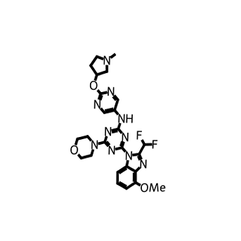 COc1cccc2c1nc(C(F)F)n2-c1nc(Nc2cnc(OC3CCN(C)C3)nc2)nc(N2CCOCC2)n1